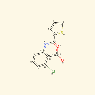 O=c1oc(-c2cccs2)nc2cccc(Cl)c12